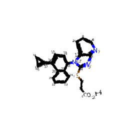 O=C(O)CCSc1nc2ncccc2n1-c1ccc(C2CC2)c2ccccc12